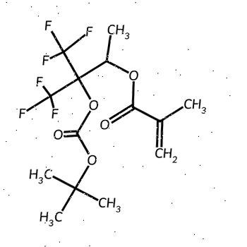 C=C(C)C(=O)OC(C)C(OC(=O)OC(C)(C)C)(C(F)(F)F)C(F)(F)F